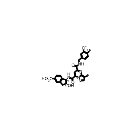 O=C(O)c1ccc2c(c1)C[C@@H](O)[C@@H]2NC(=O)c1cc(C(=O)NCc2ccc(F)c(C(F)(F)F)c2)nc2c(F)cnn12